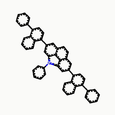 c1ccc(-c2ccc(-c3cc4ccc5cc(-c6ccc(-c7ccccc7)c7ccccc67)cc6c5c4c(c3)n6-c3ccccc3)c3ccccc23)cc1